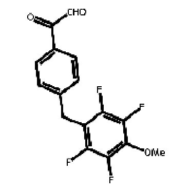 COc1c(F)c(F)c(Cc2ccc(C(=O)C=O)cc2)c(F)c1F